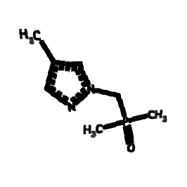 Cc1cnn(CP(C)(C)=O)c1